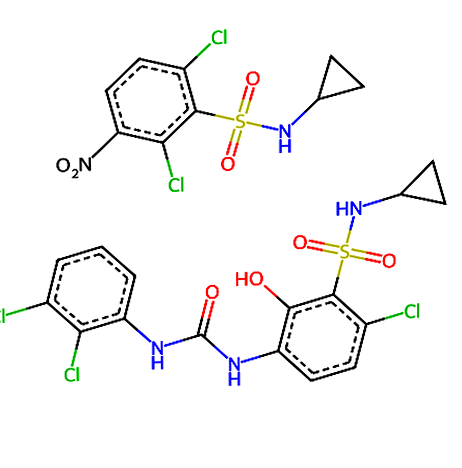 O=C(Nc1ccc(Cl)c(S(=O)(=O)NC2CC2)c1O)Nc1cccc(Cl)c1Cl.O=[N+]([O-])c1ccc(Cl)c(S(=O)(=O)NC2CC2)c1Cl